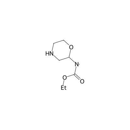 CCOC(=O)[N]C1CNCCO1